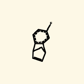 Fc1ccc2c(c1)C1C=CC2C1